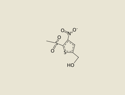 CS(=O)(=O)c1sc(CO)cc1[N+](=O)[O-]